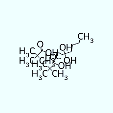 CC(C)(C)C(=O)O.CC(C)(C)C(=O)O.CCCCC(C)(O)O